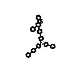 c1ccc(-c2ccc(-c3ccc(N(c4ccc(-c5ccccc5)cc4)c4ccc(-c5ccc(-c6cc7sc8ccccc8c7cc6-c6ccccc6)cc5)cc4)cc3)cc2)cc1